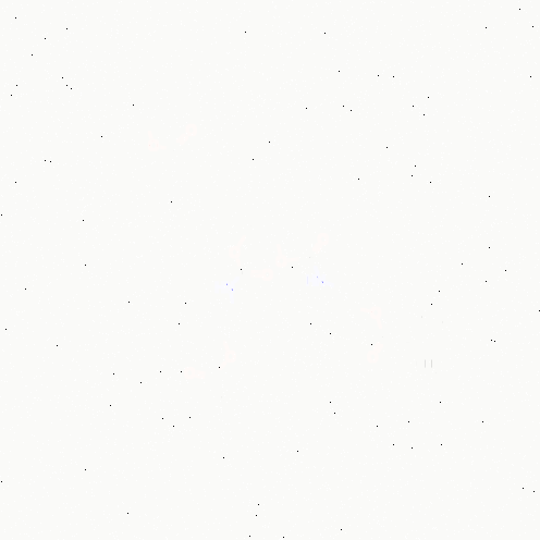 C=C(C)C(=O)OCCNC(=O)OCC(CSCCC(=O)OCC(Cl)(Cl)Cl)OC(=O)NCCOC(=O)C(=C)C